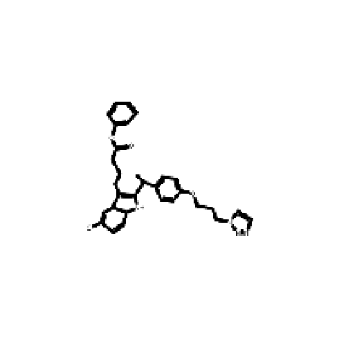 CC(C1=C(CCCC(=O)Oc2ccccc2)C2C=C(Cl)C=CC2N1)c1ccc(OCCCn2ccnn2)cc1